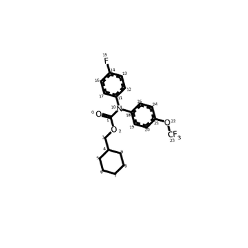 O=C(OCC1CCCCC1)N(c1ccc(F)cc1)c1ccc(OC(F)(F)F)cc1